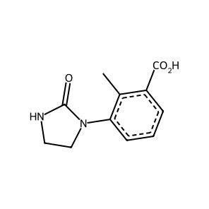 Cc1c(C(=O)O)cccc1N1CCNC1=O